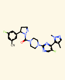 Cc1cnn(C)c1-c1nc(N2CCN(C(=O)N3N=CCC3c3cc(F)cc(C#N)c3)CC2)ncc1F